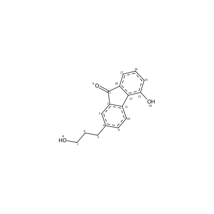 O=C1c2cc(CCCO)ccc2-c2c(O)cccc21